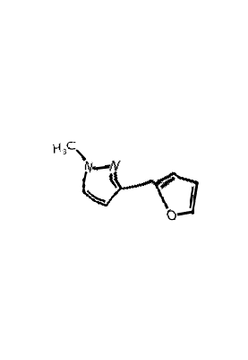 Cn1ccc(-c2ccco2)n1